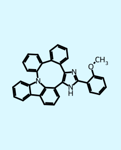 COc1ccccc1-c1nc2c3ccccc3c3ccccc3n3c4ccccc4c4cccc(c2[nH]1)c43